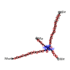 COCCOCCOCCOCCCNc1nc(C(=O)NCCOCCOCCOCCOCCOCCOCCOCCOCCOCCOCCOCCOC)c(NCCCOCCOCCOCCOC)nc1C(=O)NCCOCCOCCOCCOCCOCCOCCOCCOCCOCCOCCOCCOC